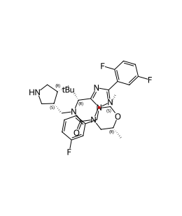 C[C@@H]1CN(C(=O)N(C[C@@H]2CNC[C@@H]2C)[C@@H](c2nc(-c3cc(F)ccc3F)nn2Cc2cccc(F)c2)C(C)(C)C)C[C@H](C)O1